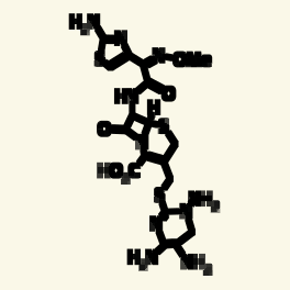 CO/N=C(\C(=O)NC1C(=O)N2C(C(=O)O)=C(CSC3=NC(N)=C(N)CN3N)CS[C@@H]12)c1csc(N)n1